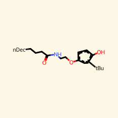 CCCCCCCCCCCCCC(=O)NCCOc1ccc(O)c(C(C)(C)C)c1